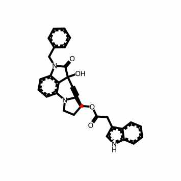 O=C(Cc1c[nH]c2ccccc12)OCC#CC1(O)C(=O)N(Cc2ccccc2)c2cccc(N3CCCC3)c21